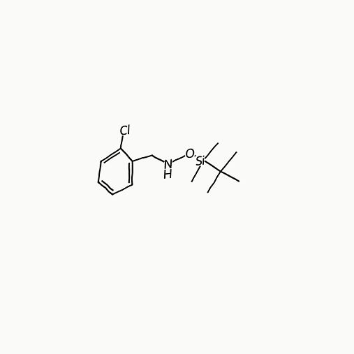 CC(C)(C)[Si](C)(C)ONCc1ccccc1Cl